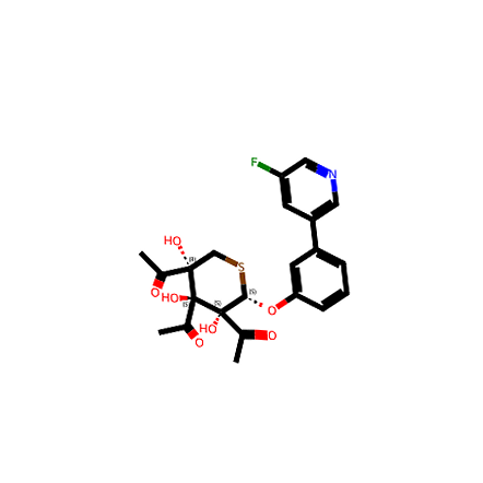 CC(=O)[C@]1(O)[C@@](O)(C(C)=O)CS[C@H](Oc2cccc(-c3cncc(F)c3)c2)[C@@]1(O)C(C)=O